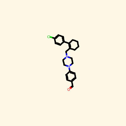 O=Cc1ccc(N2CCN(CC3=C(c4ccc(Cl)cc4)CCCC3)CC2)cc1